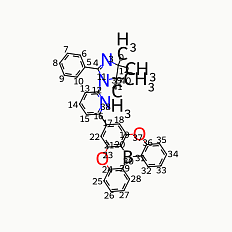 CC1(C)N=C(c2ccccc2)N(c2cccc(-c3cc4c5c(c3)Oc3ccccc3B5c3ccccc3O4)n2)C1(C)C